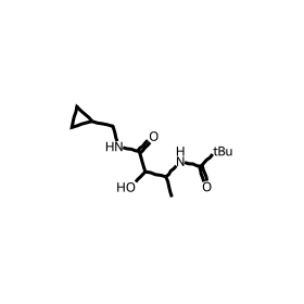 CC(NC(=O)C(C)(C)C)C(O)C(=O)NCC1CC1